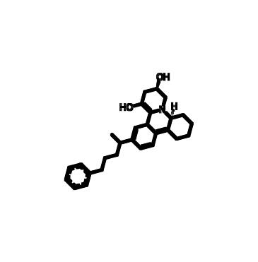 CC(CCCc1ccccc1)C1=CC2C(=C3CCCC[C@@H]3N3C[C@H](O)CC(O)=C23)C=C1